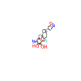 CN(C)[C@H]1C[C@@]23CC[C@]4(O2)C2CC=C(c5ccc6ncoc6c5)[C@@]2(C)CCC4(F)CC3[C@@H](O)[C@@H]1O